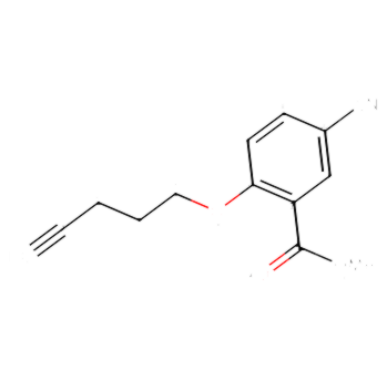 C#CCCCOc1ccc(C#N)cc1C(=O)OC